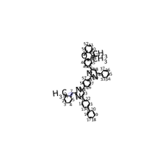 C[C@@H]1C=CC=C/C1=C\c1nc(-c2ccc(-c3ccccc3)cc2)cc(-c2ccc(-c3nc(-c4ccccc4)cc(-c4ccc5c(c4)C(C)(C)c4ccccc4O5)n3)cc2)n1